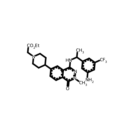 CCOC(=O)CN1CCC(c2ccc3c(=O)n(C)nc(NC(C)c4cc(N)cc(C(F)(F)F)c4)c3c2)CC1